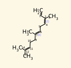 C=C/C(C)=C\C/C=C(\C)CCC=C(C)C